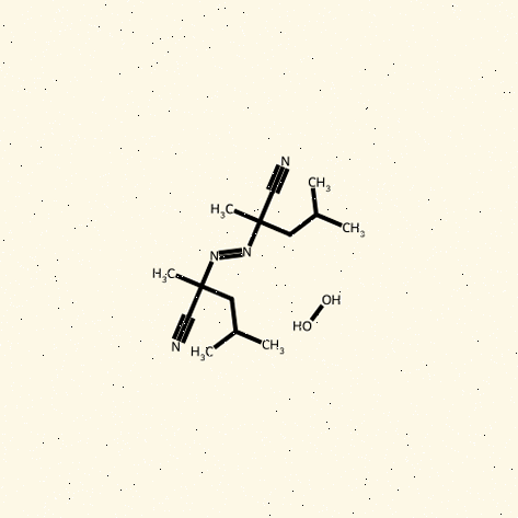 CC(C)CC(C)(C#N)N=NC(C)(C#N)CC(C)C.OO